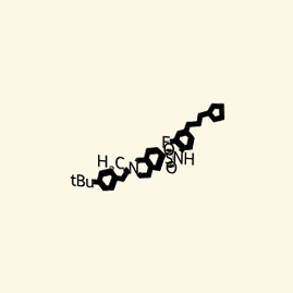 CC(Cc1ccc(C(C)(C)C)cc1)N1CCc2cc(S(=O)(=O)Nc3ccc(CCCC4CCCC4)cc3F)ccc2C1